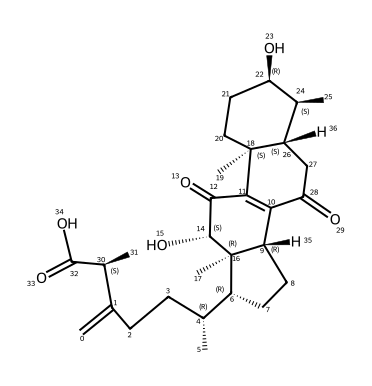 C=C(CC[C@@H](C)[C@H]1CC[C@H]2C3=C(C(=O)[C@@H](O)[C@]12C)[C@@]1(C)CC[C@@H](O)[C@@H](C)[C@@H]1CC3=O)[C@H](C)C(=O)O